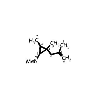 C=C(C)CC1(C)C(C)C1NC